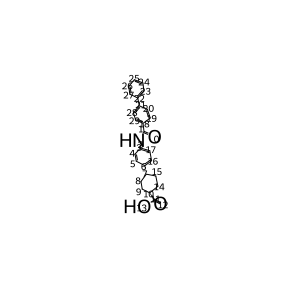 O=C(Nc1ccc([C@H]2CC[C@H](C(=O)O)CC2)cc1)c1ccc(-c2ccccc2)cc1